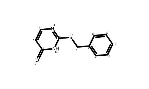 O=c1ccnc(SCc2ccccc2)[nH]1